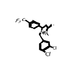 [CH2]c1cc(-c2ccc(C(F)(F)F)cc2)n(Cc2ccc(Cl)c(Cl)c2)n1